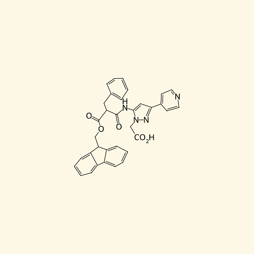 O=C(O)Cn1nc(-c2ccncc2)cc1NC(=O)C(Cc1ccccc1)C(=O)OCC1c2ccccc2-c2ccccc21